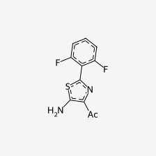 CC(=O)c1nc(-c2c(F)cccc2F)sc1N